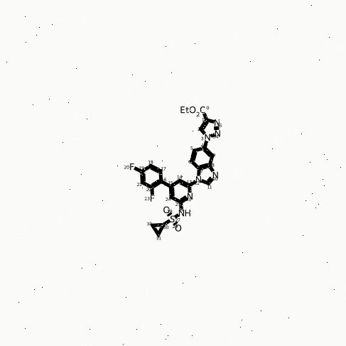 CCOC(=O)c1cn(-c2ccc3c(c2)ncn3-c2cc(-c3ccc(F)cc3F)cc(NS(=O)(=O)C3CC3)n2)nn1